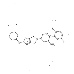 NC1CC(N2Cc3cn(SC4CCOCC4)nc3C2)CO[C@@H]1c1cc(F)ccc1F